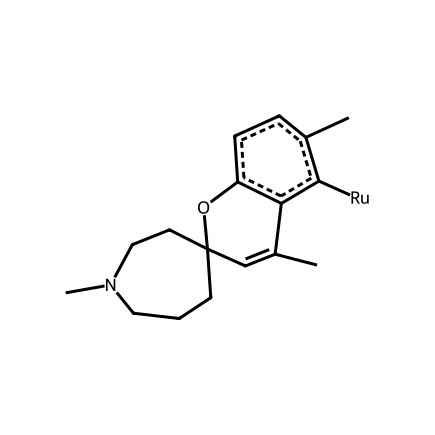 CC1=CC2(CCCN(C)CC2)Oc2ccc(C)[c]([Ru])c21